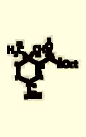 CCCCCCCCC(=O)C1=CN(C(C)(C)C)CCC1(C)C